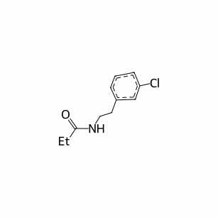 CCC(=O)NCCc1cccc(Cl)c1